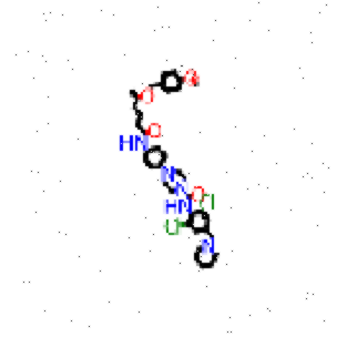 C=C(CCCC(=O)Nc1ccc(N2CCN(C(=O)Nc3c(Cl)cc(CN4CCCCC4)cc3Cl)CC2)cc1)OCc1ccc(OC)cc1